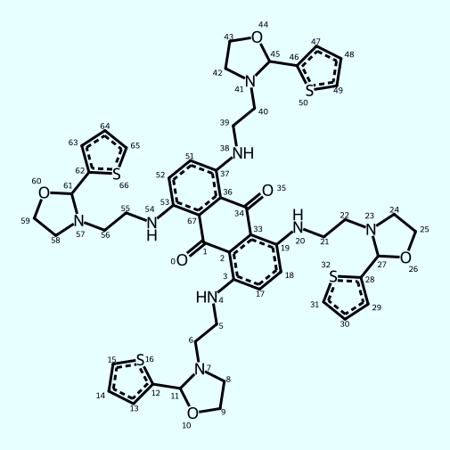 O=C1c2c(NCCN3CCOC3c3cccs3)ccc(NCCN3CCOC3c3cccs3)c2C(=O)c2c(NCCN3CCOC3c3cccs3)ccc(NCCN3CCOC3c3cccs3)c21